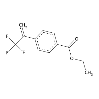 C=C(c1ccc(C(=O)OCC)cc1)C(F)(F)F